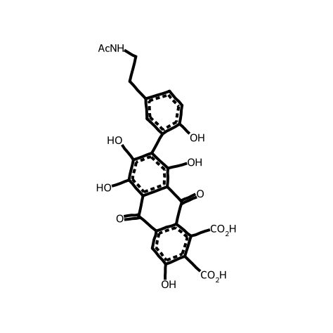 CC(=O)NCCc1ccc(O)c(-c2c(O)c(O)c3c(c2O)C(=O)c2c(cc(O)c(C(=O)O)c2C(=O)O)C3=O)c1